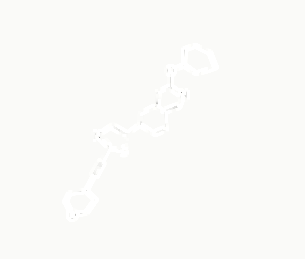 C(#CC1CCOCC1)c1ncc(-c2ccc3cnc(OC4CCCCC4)cc3c2)s1